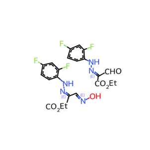 CCOC(=O)/C(C=O)=N/Nc1ccc(F)cc1F.CCOC(=O)C(/C=N/O)=N/Nc1ccc(F)cc1F